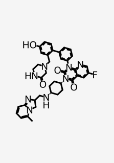 CC1=CC=CC2=NC(CN[C@H]3CC[C@@H](n4c(=O)c5cc(F)cnc5n(-c5cccc(-c6ccc(O)cc6CN6CCNC(=O)C6)c5)c4=O)CC3)CN12